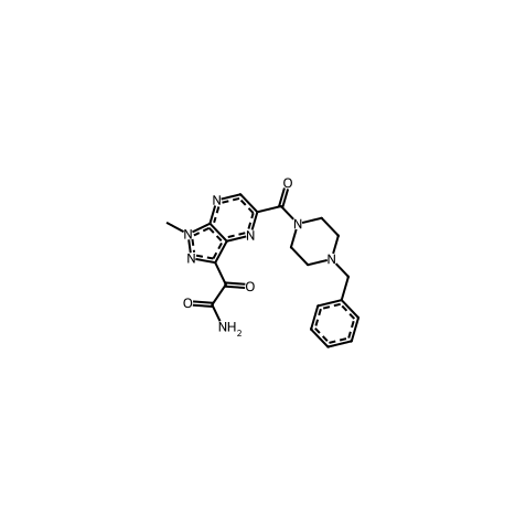 Cn1nc(C(=O)C(N)=O)c2nc(C(=O)N3CCN(Cc4ccccc4)CC3)cnc21